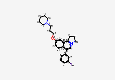 Ic1cccc(-c2c[n+]3c(c4cc(OCCCN5CCCCC5)ccc24)CCC3)c1